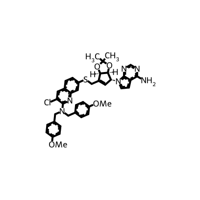 COc1ccc(CN(Cc2ccc(OC)cc2)c2nc3cc(SCC4=C[C@@H](n5ccc6c(N)ncnc65)[C@@H]5OC(C)(C)O[C@H]45)ccc3cc2Cl)cc1